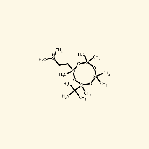 C[SiH](C)CC[Si]1(C)O[Si](C)(C)O[Si](C)(C)O[Si](C)(C(C)(C)N)O1